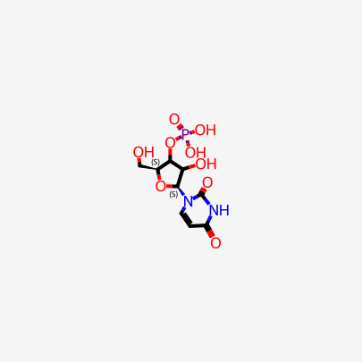 O=c1ccn([C@H]2O[C@@H](CO)C(OP(=O)(O)O)C2O)c(=O)[nH]1